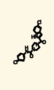 O=C(Nc1ccc(Cl)cc1)N1CCN(C(=O)c2cc3cc(Cl)ccc3[nH]2)CC1